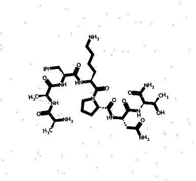 CC(C)C[C@H](NC(=O)[C@H](C)NC(=O)[C@H](C)N)C(=O)N[C@@H](CCCCN)C(=O)N1CCC[C@H]1C(=O)N[C@@H](CC(N)=O)C(=O)N[C@H](C(N)=O)[C@@H](C)O